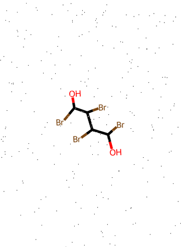 OC(Br)C(Br)C(Br)C(O)Br